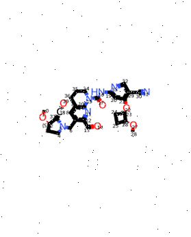 CO[C@H]1CCN(Cc2cc3c(nc2C=O)N(C(=O)Nc2cc(O[C@H]4CC[C@H]4OC)c(C#N)cn2)CCC3)C1=C=O